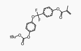 C=C(C)C(=O)Oc1ccc(C(F)(F)Oc2ccc(OC(=O)OC(C)(C)C)cc2)cc1